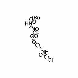 CC(OC(=O)N1CC[C@@H](NC(=O)OC(C)(C)C)C1)OC(=O)C(C)(C)Oc1ccc(CCNC(=O)c2ccc(Cl)cc2)cc1